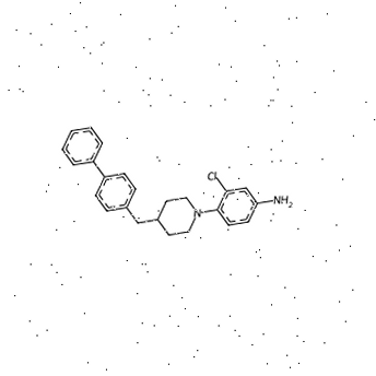 Nc1ccc(N2CCC(Cc3ccc(-c4ccccc4)cc3)CC2)c(Cl)c1